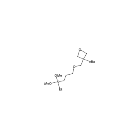 CCCCC1(COCCC[Si](CC)(OC)OC)COC1